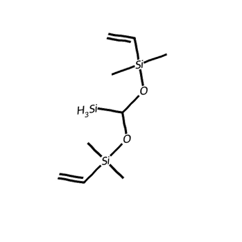 C=C[Si](C)(C)OC([SiH3])O[Si](C)(C)C=C